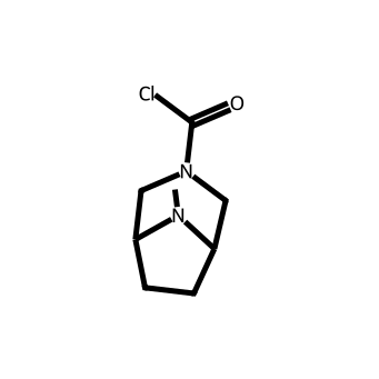 CN1C2CCC1CN(C(=O)Cl)C2